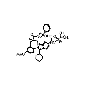 COc1ccc2c(c1)C1CC1(C(=O)N1CC(O)(c3ccccc3)C1)Cn1c-2c(C2CCCCC2)c2ccc(C(=O)NS(=O)(=O)N(C)C)cc21